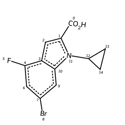 O=C(O)c1cc2c(F)cc(Br)cc2n1C1CC1